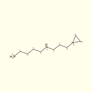 NCCCCNCCCN1CC1